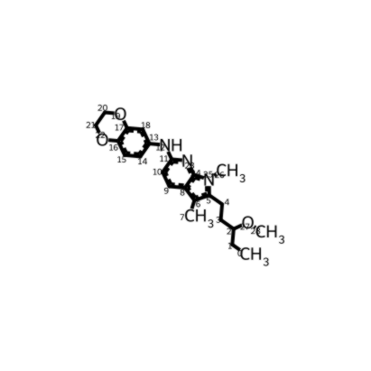 CCC(CCc1c(C)c2ccc(Nc3ccc4c(c3)OCCO4)nc2n1C)OC